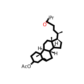 CC(=O)OC1CC[C@@]2(C)C(=CC[C@H]3[C@@H]4CC[C@H]([C@H](C)CCC(=O)C(C)C)[C@@]4(C)CC[C@@H]32)C1